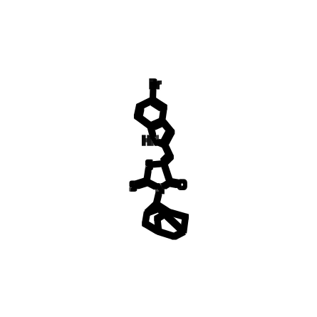 O=C1/C(=C/c2cc3cc(Br)ccc3[nH]2)SC(=S)N1C1C2CC3CC(C2)CC1C3